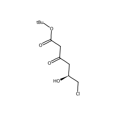 CC(C)(C)OC(=O)CC(=O)C[C@H](O)CCl